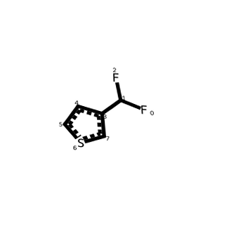 FC(F)c1ccsc1